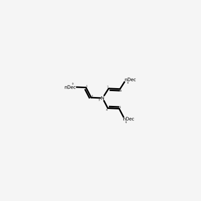 CCCCCCCCCCC=CN(C=CCCCCCCCCCC)C=CCCCCCCCCCC